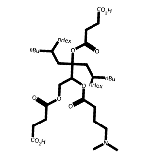 CCCCCCC(CCCC)CC(CC(CCCC)CCCCCC)(OC(=O)CCC(=O)O)C(COC(=O)CCC(=O)O)OC(=O)CCCN(C)C